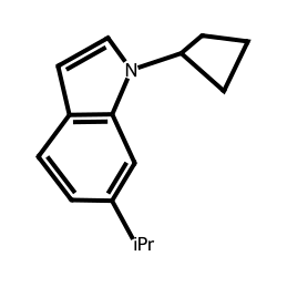 CC(C)c1ccc2ccn(C3CCC3)c2c1